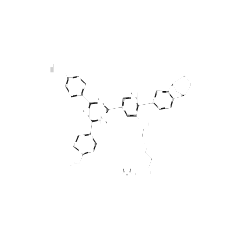 COCCOCOc1cc(-c2nc(-c3ccc(C(C)C)cc3)nc(-c3ccc(C(C)C)cc3)n2)cnc1-c1ccc2c(c1)C1CCC2C1